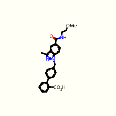 COCCNC(=O)c1ccc2c(c1)c(C)nn2Cc1ccc(-c2ccccc2C(=O)O)cc1